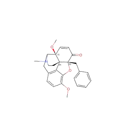 COc1ccc2c3c1O[C@@]1(Cc4ccccc4)C(=O)C=C[C@@]4(OC)C(C2)N(C)CC[C@]314